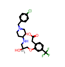 C[C@](O)(CNC1CCN(Cc2ccc(Cl)cc2)CC1)COc1cc(C(F)(F)F)ccc1CC(=O)O